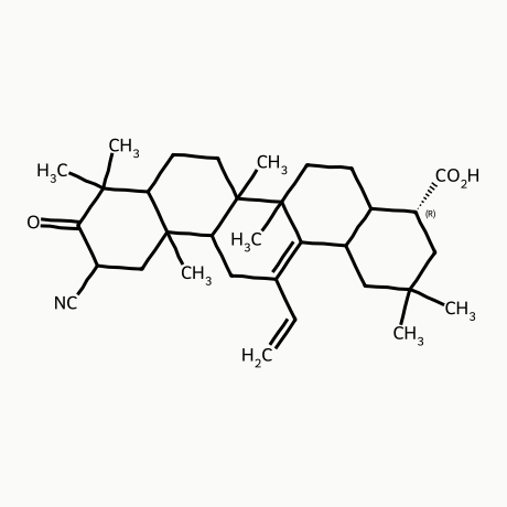 C=CC1=C2C3CC(C)(C)C[C@@H](C(=O)O)C3CCC2(C)C2(C)CCC3C(C)(C)C(=O)C(C#N)CC3(C)C2C1